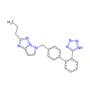 CCCc1nc2ccn(Cc3ccc(-c4ccccc4-c4nnn[nH]4)cc3)n2n1